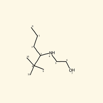 CCCC(NCCO)C(C)(C)C